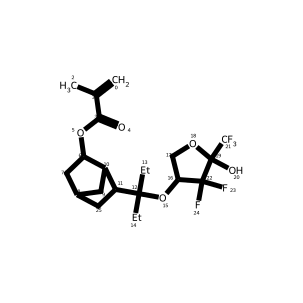 C=C(C)C(=O)OC1CC2CC1C(C(CC)(CC)OC1COC(O)(C(F)(F)F)C1(F)F)C2